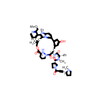 CCN1C(c2cccnc2COC)=C2CC(C)(C)COC(=O)[C@@H]3CCCN(N3)C(=O)[C@@H](NC(=O)[C@H](C(C)C)N(C)C(=O)[C@H]3CCN(C(=O)C#C[C@H]4CCCN4C)C3)Cc3cc(O)cc(c3)C3=CN2C1C=C3